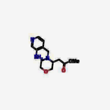 COC(=O)CC1COCCN1Cc1ccncc1N